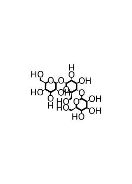 OC[C@H]1O[C@@H](O[C@H]2[C@H](O)[C@@H](O)[C@@H](O[C@H]3O[C@H](CO)[C@@H](O)[C@H](O)[C@H]3O)O[C@@H]2CO)[C@H](O)[C@@H](O)[C@H]1O